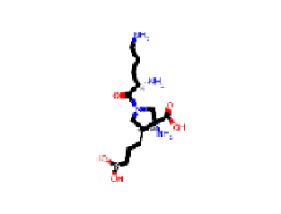 NCCC[C@H](N)C(=O)N1C[C@H](CCCB(O)O)[C@](N)(C(=O)O)C1